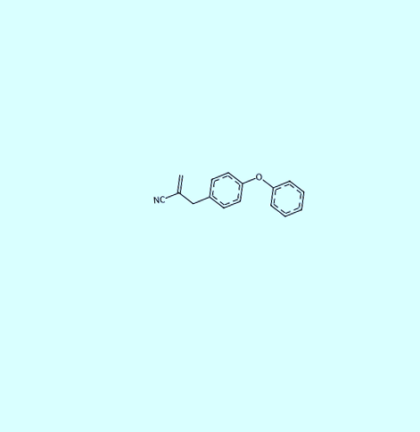 C=C(C#N)Cc1ccc(Oc2ccccc2)cc1